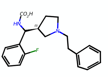 O=C(O)NC(c1ccccc1F)[C@H]1CCN(CCc2ccccc2)C1